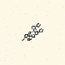 N#Cc1ccc2c(c1)C1(c3ccccc3Oc3ccccc31)C1C=C(c3c4cccc(-c5ccccc5)c4cc4c(-c5ccccc5)cccc34)C=CC21